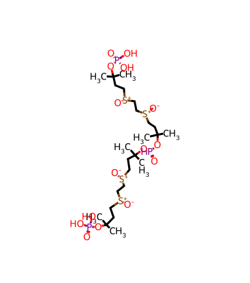 CC(C)(CC[S+]([O-])CC[S+]([O-])CCC(C)(C)OP(=O)(O)O)O[PH](=O)OC(C)(C)CC[S+]([O-])CC[S+]([O-])CCC(C)(C)OP(=O)(O)O